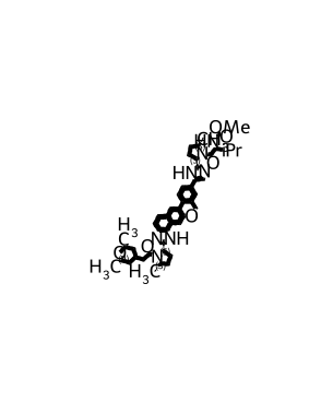 COC(=O)NC(C(=O)N1[C@@H](C)CC[C@H]1c1ncc(-c2ccc3c(c2)COc2cc4c(ccc5nc([C@@H]6CC[C@H](C)N6C(=O)CC6CC(C)O[C@H](C)C6)[nH]c54)cc2-3)[nH]1)C(C)C